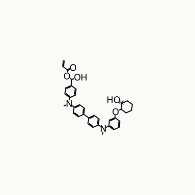 C=CC(=O)OC(O)c1ccc(N(C)c2ccc(-c3ccc(N(C)c4cccc(OC5CCCC[C@H]5O)c4)cc3)cc2)cc1